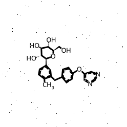 Cc1ccc([C@@H]2O[C@H](CO)[C@@H](O)[C@H](O)[C@H]2O)cc1Cc1ccc(Oc2cncnc2)cc1